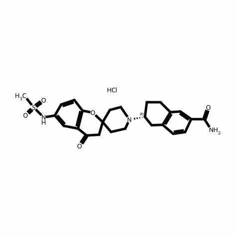 CS(=O)(=O)Nc1ccc2c(c1)C(=O)CC1(CCN([C@@H]3CCc4cc(C(N)=O)ccc4C3)CC1)O2.Cl